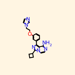 Nc1nccn2c(C3CCC3)nc(-c3cccc(OCCn4ccnc4)c3)c12